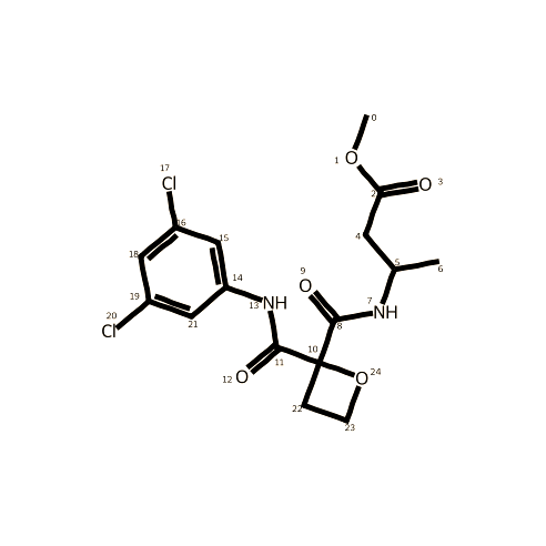 COC(=O)CC(C)NC(=O)C1(C(=O)Nc2cc(Cl)cc(Cl)c2)CCO1